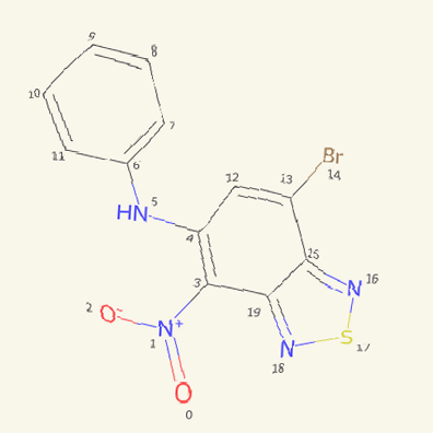 O=[N+]([O-])c1c(Nc2ccccc2)cc(Br)c2nsnc12